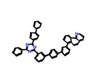 c1ccc(-c2ccc(-c3nc(-c4ccccc4)nc(-c4cccc(-c5ccc(-c6cccc(-c7cccc8c7ccc7cccnc78)c6)cc5)c4)n3)cc2)cc1